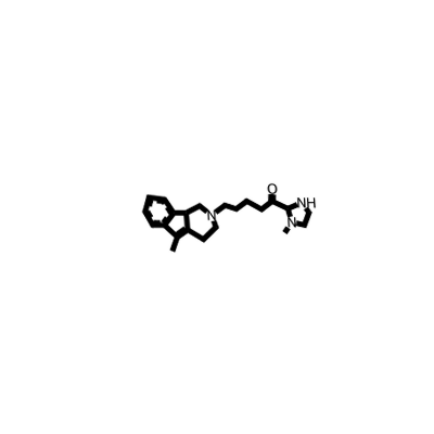 CC1=C2CCN(CCCCC(=O)C3NCCN3C)CC2c2ccccc21